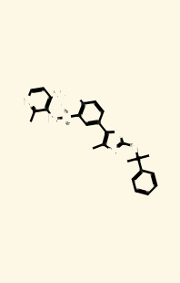 COc1ccc(-c2sc(NC(C)(C)c3ccccc3)nc2C)cc1S(=O)(=O)Nc1cccnc1C